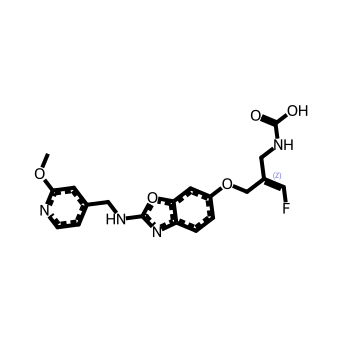 COc1cc(CNc2nc3ccc(OC/C(=C\F)CNC(=O)O)cc3o2)ccn1